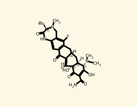 CCC(C)[C@@H]1C(=O)Nc2cc3c(c(F)c2CN1C)C[C@H]1C[C@H]2[C@H](N(C)C)C(O)=C(C(N)=O)C(=O)[C@@]2(O)C(O)=C1C3=O